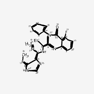 C=N/C(NC(CC)c1nc2cccc(F)c2c(=O)n1-c1ccccc1)=C1/N=CN/C1=N/C